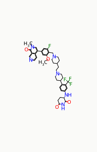 COc1cc(-c2cn(C)c(=O)c3cnccc23)cc(F)c1CN1CCC(CCN2CCC(c3ccc(NC4CCC(=O)NC4=O)cc3C(F)(F)F)CC2)CC1